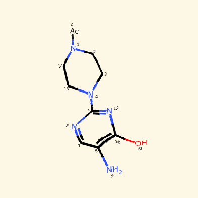 CC(=O)N1CCN(c2ncc(N)c(O)n2)CC1